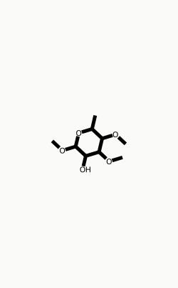 COC1OC(C)C(OC)C(OC)C1O